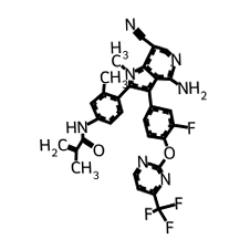 C=C(C)C(=O)Nc1ccc(-c2c(-c3ccc(Oc4nccc(C(F)(F)F)n4)c(F)c3)c3c(N)ncc(C#N)c3n2C)c(C)c1